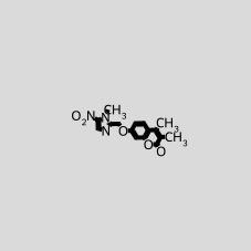 Cc1c(C)c2ccc(OCc3ncc([N+](=O)[O-])n3C)cc2oc1=O